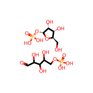 O=CC(O)C(O)C(O)COP(=O)(O)O.O=P(O)(O)O[C@H]1O[C@H](CO)[C@@H](O)[C@H]1O